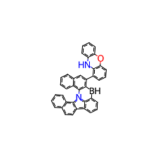 B1c2c(-c3cccc4c3Nc3ccccc3O4)cc3ccccc3c2-n2c3c1cccc3c1ccc3ccccc3c12